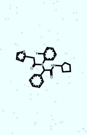 O=C(NC1CCCC1)C(c1ccccc1)N(C(=O)Cc1cccs1)c1ccccc1F